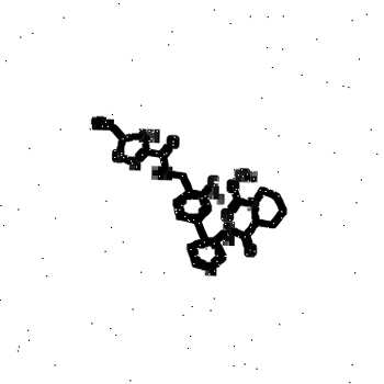 Cc1cc(-c2ccncc2NC(=O)C2CCCCN2C(=O)OC(C)(C)C)ccc1CNC(=O)C1=NOC(C(C)(C)C)N1